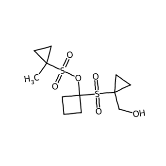 CC1(S(=O)(=O)OC2(S(=O)(=O)C3(CO)CC3)CCC2)CC1